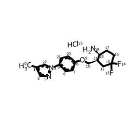 Cc1cnn(-c2ccc(OC[C@@H]3CC(F)(F)CC[C@@H]3N)cc2)c1.Cl